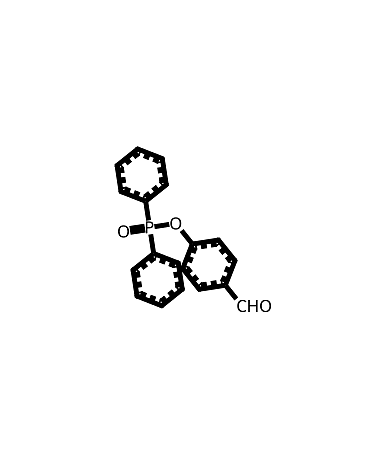 O=Cc1ccc(OP(=O)(c2ccccc2)c2ccccc2)cc1